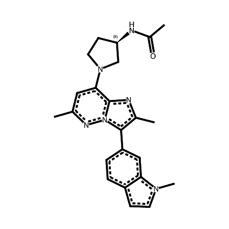 CC(=O)N[C@@H]1CCN(c2cc(C)nn3c(-c4ccc5ccn(C)c5c4)c(C)nc23)C1